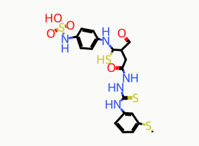 CSc1cccc(NC(=S)NNC(=O)CC(C=O)C(S)Nc2ccc(NS(=O)(=O)O)cc2)c1